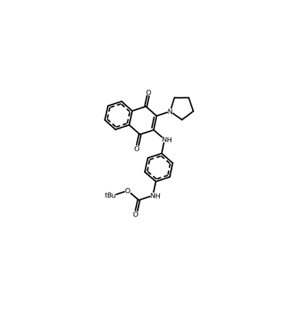 CC(C)(C)OC(=O)Nc1ccc(NC2=C(N3CCCC3)C(=O)c3ccccc3C2=O)cc1